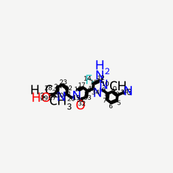 Cc1c(C#N)cccc1-c1nc(N)c(F)c(-c2ccn(Cc3cccc(C(C)(C)O)n3)c(=O)c2)n1